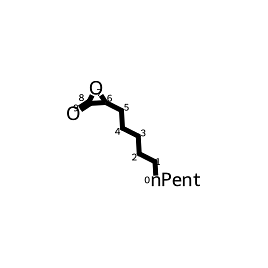 CCCCCCCCCCC1OC1=O